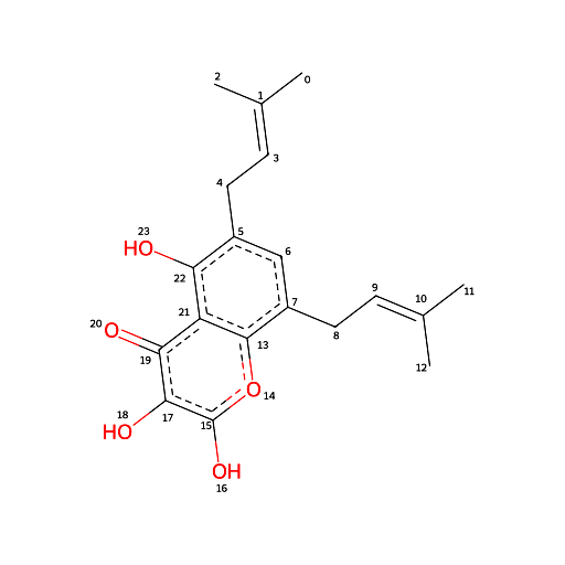 CC(C)=CCc1cc(CC=C(C)C)c2oc(O)c(O)c(=O)c2c1O